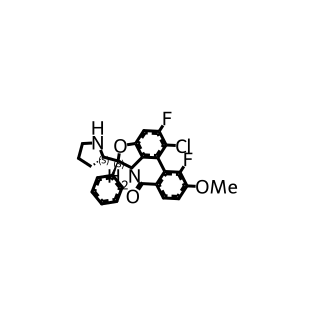 COc1ccc(C(N)=O)c(-c2c(Cl)c(F)cc3c2C[C@](c2ccccc2)([C@@H]2CCCN2)O3)c1F